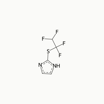 FC(F)C(F)(F)Sc1ncc[nH]1